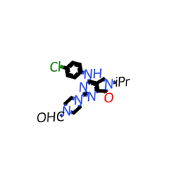 CC(C)N1Cc2c(Nc3ccc(Cl)cc3)nc(N3CCN(C=O)CC3)nc2C1=O